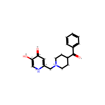 O=C(c1ccccc1)C1CCN(Cc2cc(=O)c(O)c[nH]2)CC1